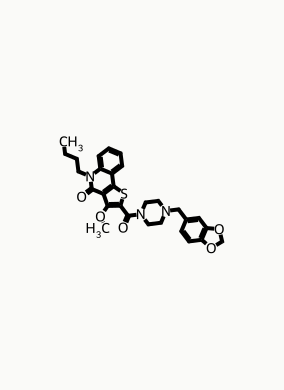 CCCCn1c(=O)c2c(OC)c(C(=O)N3CCN(Cc4ccc5c(c4)OCO5)CC3)sc2c2ccccc21